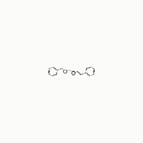 C(=Cc1ccccc1)OCOCc1ccccc1